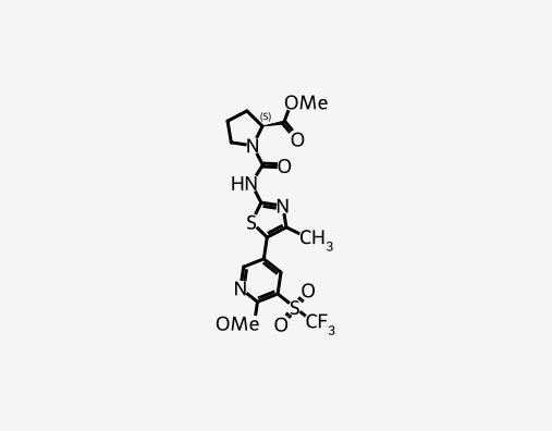 COC(=O)[C@@H]1CCCN1C(=O)Nc1nc(C)c(-c2cnc(OC)c(S(=O)(=O)C(F)(F)F)c2)s1